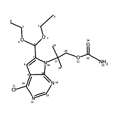 CCOC(OCC)c1cc2c(Cl)ncnc2n1C(C)(C)COC(N)=O